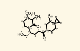 CC1C(=O)N([C@@H](CO)CCC(=O)N2CCC3(CC3)C(O)C2)CCN1C(=O)O